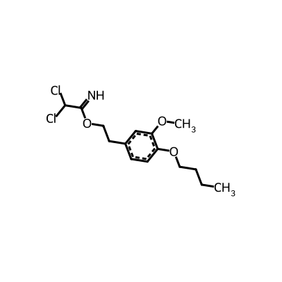 CCCCOc1ccc(CCOC(=N)C(Cl)Cl)cc1OC